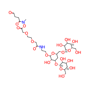 CN(OC(=O)COCCOCC(=O)NCCOC1OC(CO[C@H]2OC(CO)[C@@H](O)C(O)C2O)CC(O[C@H]2OC(CO)[C@@H](O)C(O)C2O)C1O)C(=O)CCC=O